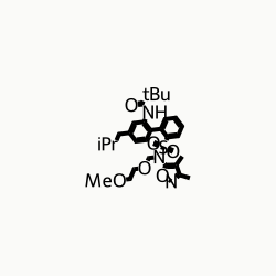 COCCOCN(c1onc(C)c1C)S(=O)(=O)c1ccccc1-c1ccc(CC(C)C)cc1NC(=O)C(C)(C)C